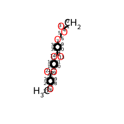 C=CC(=O)OCCOc1ccc(C(=O)Oc2ccc(OC(=O)c3ccc(OC)cc3)cc2)cc1